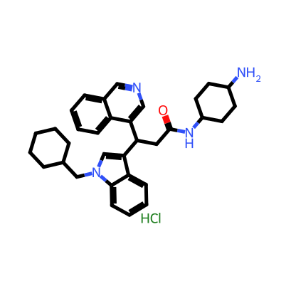 Cl.NC1CCC(NC(=O)CC(c2cncc3ccccc23)c2cn(CC3CCCCC3)c3ccccc23)CC1